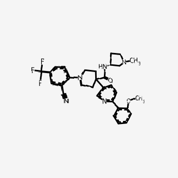 COc1ccccc1-c1ccc(C2(C(=O)N[C@@H]3CCN(C)C3)CCN(c3ccc(C(F)(F)F)cc3C#N)CC2)cn1